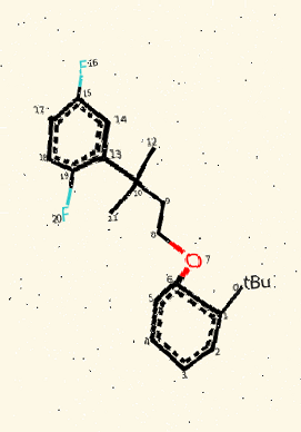 CC(C)(C)c1ccccc1OCCC(C)(C)c1cc(F)ccc1F